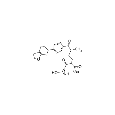 CCCCC(=O)C(CCC(C)C(=O)c1ccc(C2C=CC3=C(C2)OCC3)cc1)C(=O)C1NC1O